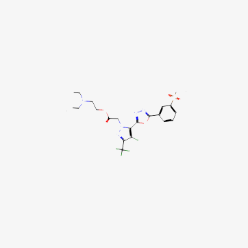 CCN(CC)CCOC(=O)Cn1nc(C(F)(F)F)c(Br)c1-c1nnc(-c2cccc(S(C)(=O)=O)c2)o1